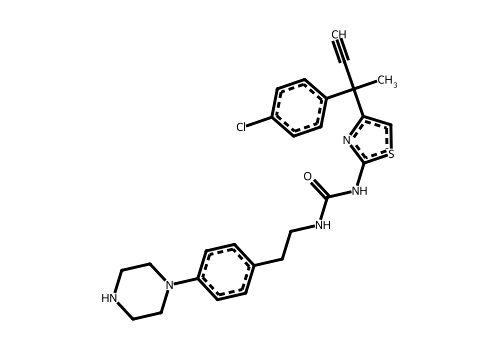 C#CC(C)(c1ccc(Cl)cc1)c1csc(NC(=O)NCCc2ccc(N3CCNCC3)cc2)n1